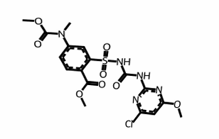 COC(=O)c1ccc(N(C)C(=O)OC)cc1S(=O)(=O)NC(=O)Nc1nc(Cl)cc(OC)n1